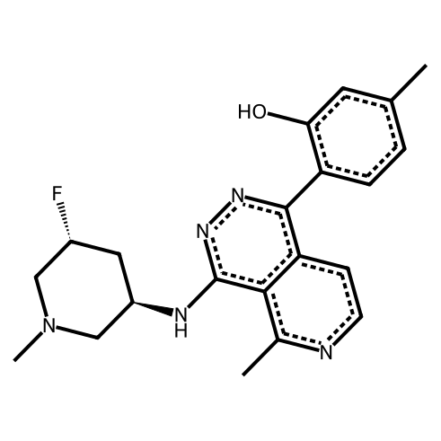 Cc1ccc(-c2nnc(N[C@@H]3C[C@@H](F)CN(C)C3)c3c(C)nccc23)c(O)c1